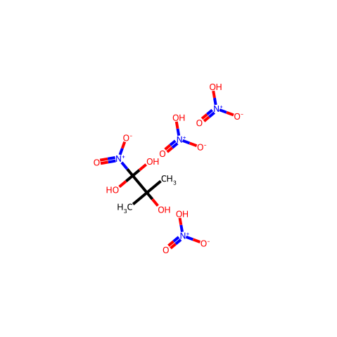 CC(C)(O)C(O)(O)[N+](=O)[O-].O=[N+]([O-])O.O=[N+]([O-])O.O=[N+]([O-])O